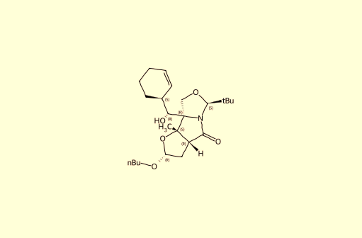 CCCCO[C@H]1C[C@H]2C(=O)N3[C@H](C(C)(C)C)OC[C@@]3([C@H](O)[C@@H]3C=CCCC3)[C@@]2(C)O1